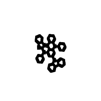 c1ccc(N2c3ccccc3B3c4c2cc(-n2c5ccccc5c5ccccc52)cc4N(c2ccccc2)c2nc4ccccc4n23)cc1